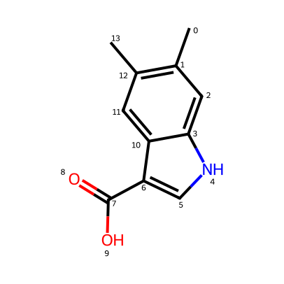 Cc1cc2[nH]cc(C(=O)O)c2cc1C